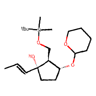 CC=C[C@]1(O)CC[C@@H](OC2CCCCO2)[C@@H]1CO[Si](C)(C)C(C)(C)C